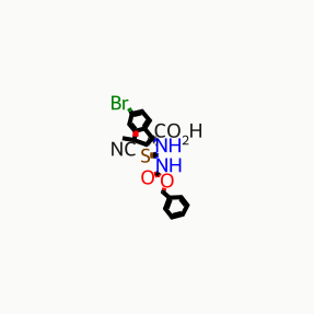 CC(C)(C#N)C[C@](NC(=S)NC(=O)OCc1ccccc1)(C(=O)O)c1ccc(Br)cc1